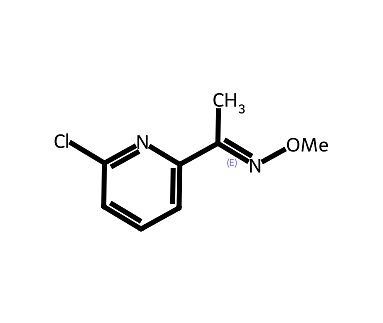 CO/N=C(\C)c1cccc(Cl)n1